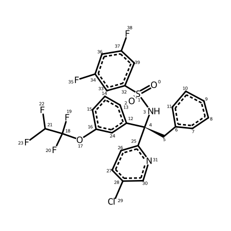 O=S(=O)(N[C@@](Cc1ccccc1)(c1cccc(OC(F)(F)C(F)F)c1)c1ccc(Cl)cn1)c1cc(F)cc(F)c1